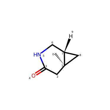 C[C@]12CC(=O)NC[C@@H]1C2